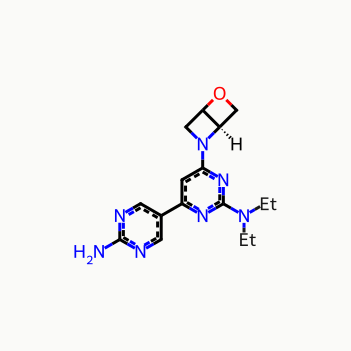 CCN(CC)c1nc(-c2cnc(N)nc2)cc(N2CC3OC[C@H]32)n1